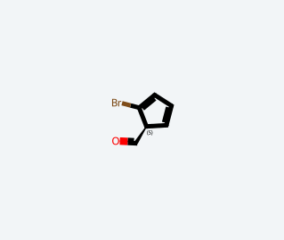 O=C[C@@H]1C=CC=C1Br